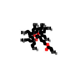 C=CC(=O)OCCCC[Si](O[Si](CCC)(CCC)CCC)(O[Si](CCC)(CCC)CCC)O[Si](CCC)(CCC)CCC